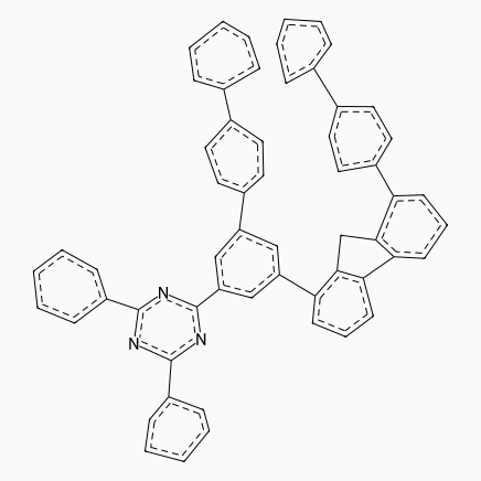 c1ccc(-c2ccc(-c3cc(-c4nc(-c5ccccc5)nc(-c5ccccc5)n4)cc(-c4cccc5c4Cc4c(-c6ccc(-c7ccccc7)cc6)cccc4-5)c3)cc2)cc1